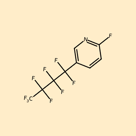 Fc1ccc(C(F)(F)C(F)(F)C(F)(F)C(F)(F)F)cn1